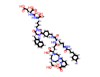 O=C(O)CC[C@H](NC(=O)N[C@@H](CCCCNC(=O)[C@@H](Cc1ccc2ccccc2c1)NC(=O)C1CCC(CNC(=O)[C@H](CCCCNC(=O)CCCc2ccc(I)cc2)NC(=O)CC[C@H](C(=O)O)N2CCN(CC(=O)O)CCN(Cc3cccc(C(=O)O)n3)CC2)CC1)C(=O)O)C(=O)O